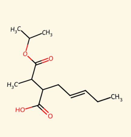 CCC=CCC(C(=O)O)C(C)C(=O)OC(C)C